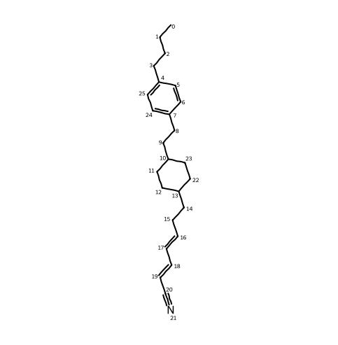 CCCCc1ccc(CCC2CCC(CCC=CC=CC#N)CC2)cc1